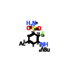 CCCCNc1cc(C(C)=O)cc(S(N)(=O)=O)c1F